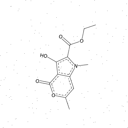 CCOC(=O)c1c(O)c2c(=O)oc(C)cc2n1C